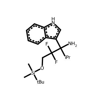 CC(C)C(N)(c1c[nH]c2ccccc12)C(F)(F)CO[Si](C)(C)C(C)(C)C